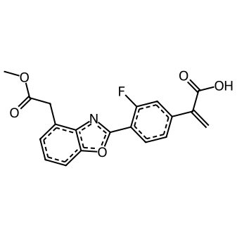 C=C(C(=O)O)c1ccc(-c2nc3c(CC(=O)OC)cccc3o2)c(F)c1